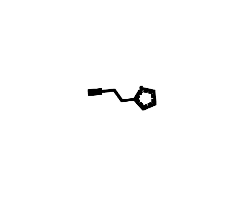 C#CCCc1cccs1